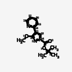 COc1nn(C(=O)OC(C)(C)C)cc1-c1ccccn1